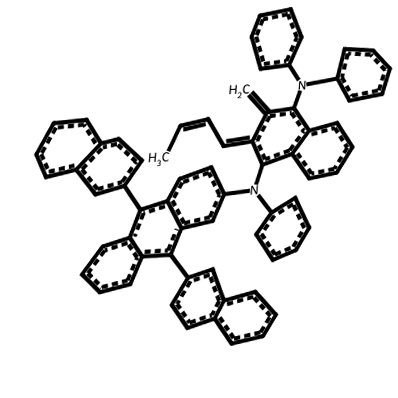 C=c1c(N(c2ccccc2)c2ccccc2)c2ccccc2c(N(c2ccccc2)c2ccc3c(-c4ccc5ccccc5c4)c4ccccc4c(-c4ccc5ccccc5c4)c3c2)/c1=C/C=C\C